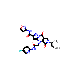 COC[C@H](C)N1Cc2c(n(CC(=O)Nc3ccc(F)cn3)c3cc(C(=O)Nc4ccon4)nn3c2=O)C1=O